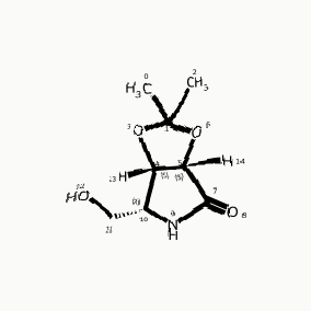 CC1(C)O[C@@H]2[C@H](O1)C(=O)N[C@@H]2CO